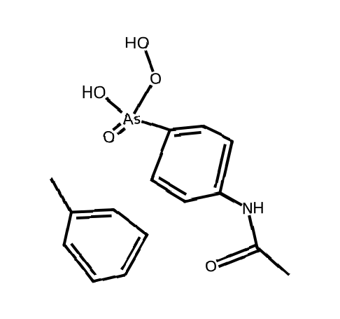 CC(=O)Nc1ccc([As](=O)(O)OO)cc1.Cc1ccccc1